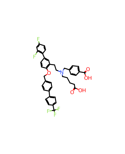 O=C(O)CCCCN(CCc1cc(-c2ccc(F)cc2F)ccc1OCc1ccc(-c2ccc(C(F)(F)F)cc2)cc1)Cc1ccc(C(=O)O)cc1